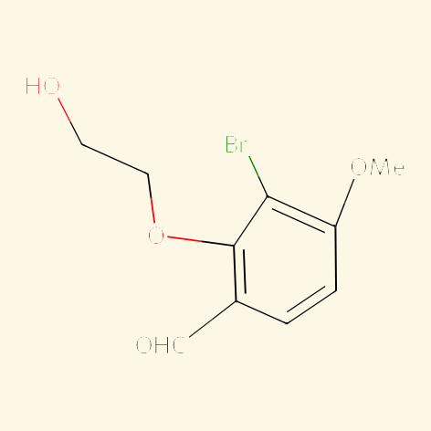 COc1ccc(C=O)c(OCCO)c1Br